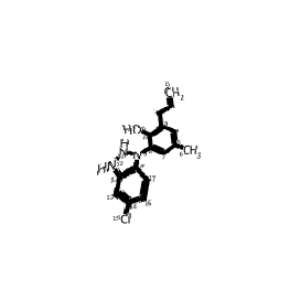 C=CCc1cc(C)cc(N2NNc3cc(Cl)ccc32)c1O